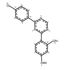 COc1ccc(-c2ncnc(-c3ccc(Cl)cc3)n2)c(OC(C)=O)c1